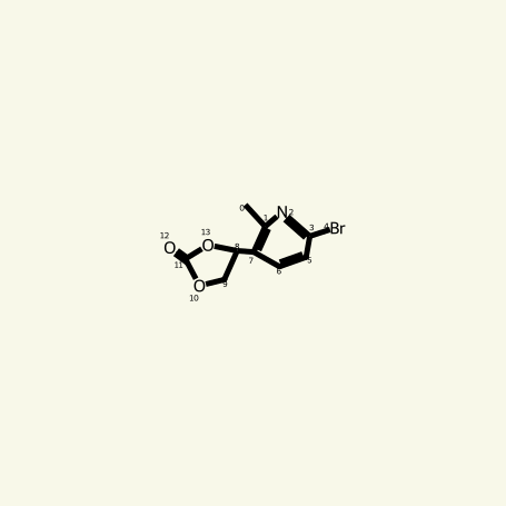 Cc1nc(Br)ccc1C1COC(=O)O1